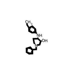 CCc1ccc(N[C@H]2CCN(Cc3ccccc3)C[C@@H]2O)cc1